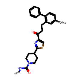 CCCNC(=O)N1CCC(c2nc(C(=O)CCc3cc(OC)ccc3-c3ccccc3)cs2)CC1